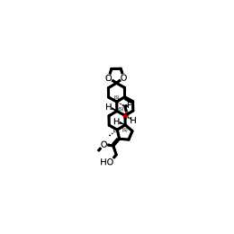 COC(CO)=C1CC[C@H]2[C@@H]3CC=C4CC5(CC[C@]4(C(F)F)[C@H]3CC[C@]12C)OCCO5